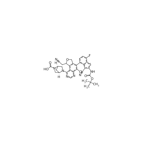 CC(C)(C)OC(=O)Nc1sc2c(F)ccc(-c3c4c(c5c(N6C[C@H]7C[C@@H]6CN7C(=O)O)ncnc5c3Cl)C(CC#N)OC4)c2c1C#N